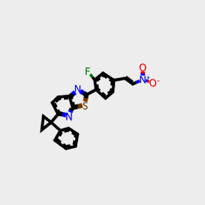 O=[N+]([O-])C=Cc1ccc(-c2nc3ccc(C4(c5ccccc5)CC4)nc3s2)c(F)c1